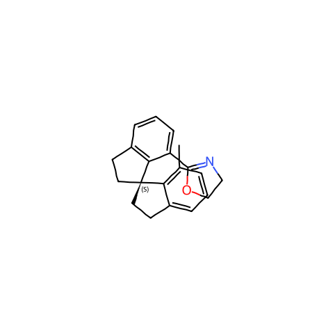 Cc1cccc2c1[C@]1(CC2)CCc2cccc(C3=NCCO3)c21